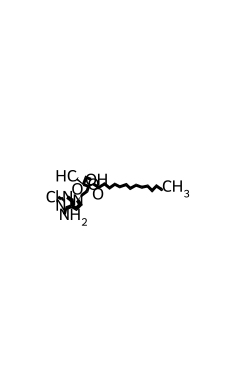 C#C[C@]1(CO)O[C@@H](n2ccc3c(N)nc(Cl)nc32)C[C@@H]1OC(=O)CCCCCCCCCCCCC